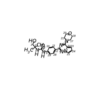 CC(C)(CO)NC(=O)Nc1ccc(-c2nc(N3CCOCC3)c3cccn3n2)cc1